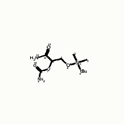 CC(C)(C)[Si](C)(C)OCC(OC(N)=O)C(N)=O